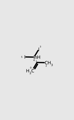 C=CC.[I][InH][I]